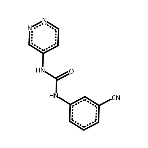 N#Cc1cccc(NC(=O)Nc2ccnnc2)c1